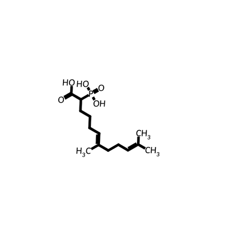 CC(C)=CCCC(C)=CCCCC(C(=O)O)P(=O)(O)O